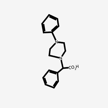 O=C(O)C(c1ccccc1)N1CCN(c2ccccc2)CC1